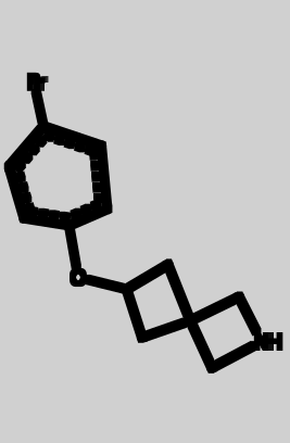 Brc1ccc(OC2CC3(CNC3)C2)cc1